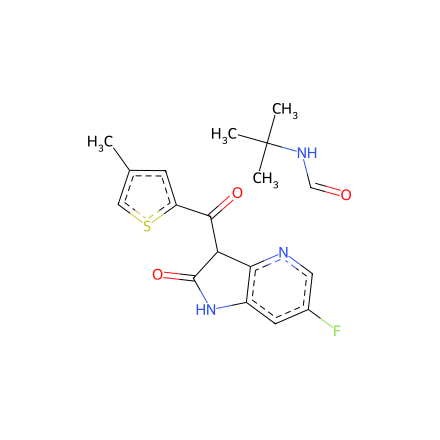 CC(C)(C)NC=O.Cc1csc(C(=O)C2C(=O)Nc3cc(F)cnc32)c1